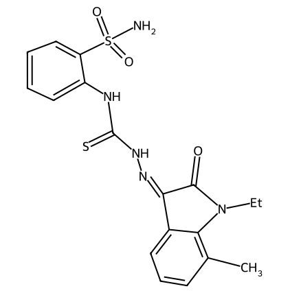 CCN1C(=O)C(=NNC(=S)Nc2ccccc2S(N)(=O)=O)c2cccc(C)c21